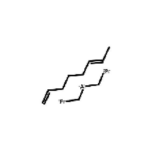 C=CCCCC=CC.CC(C)[CH2][Al][CH2]C(C)C